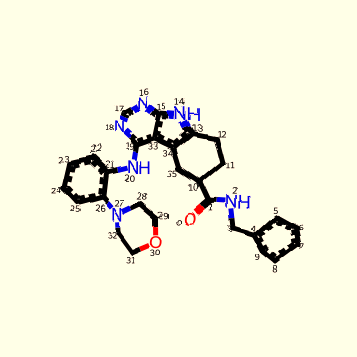 O=C(NCc1ccccc1)C1CCc2[nH]c3ncnc(Nc4ccccc4N4CCOCC4)c3c2C1